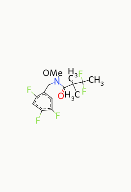 CON(Cc1cc(F)c(F)cc1F)C(=O)C(C)(C)C(C)(F)F